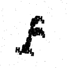 C=CC(=O)Oc1ccc(C#Cc2ccc(C#Cc3ccc(-c4ccc(OC(=O)C(=C)C)cc4)cc3)cc2OC(=O)C(=C)C)cc1